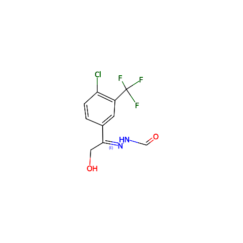 O=CN/N=C(/CO)c1ccc(Cl)c(C(F)(F)F)c1